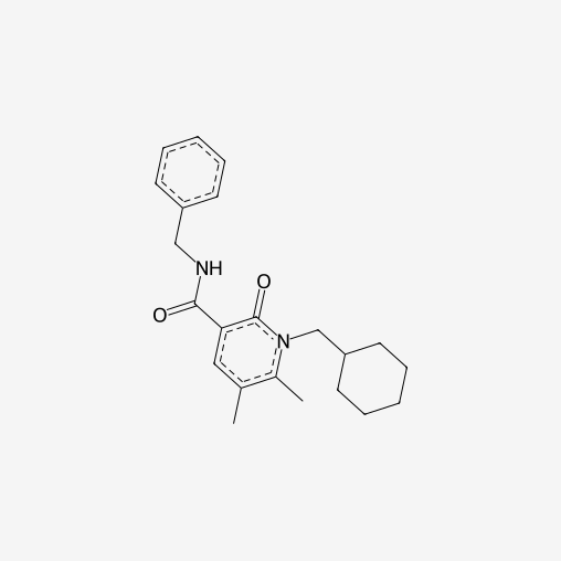 Cc1cc(C(=O)NCc2ccccc2)c(=O)n(CC2CCCCC2)c1C